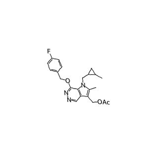 CC(=O)OCc1c(C)n(CC2CC2C)c2c(OCc3ccc(F)cc3)nncc12